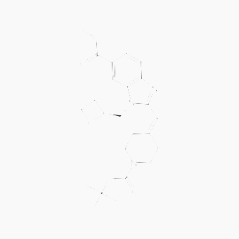 COC(=O)c1ccc2nc(C=C3CCN(C(=O)OC(C)(C)C)CC3)n(C[C@@H]3CCO3)c2c1